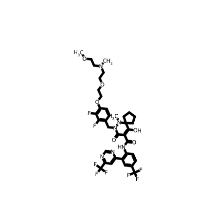 COCCN(C)CCOCCOc1ccc(CN2C(=O)C(C(=O)Nc3ccc(C(F)(F)F)cc3-c3cc(C(F)(F)F)ncn3)=C(O)C3(CCCC3)N2C)c(F)c1F